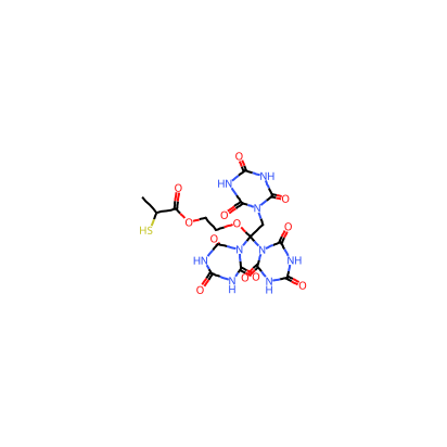 CC(S)C(=O)OCCOC(Cn1c(=O)[nH]c(=O)[nH]c1=O)(n1c(=O)[nH]c(=O)[nH]c1=O)n1c(=O)[nH]c(=O)[nH]c1=O